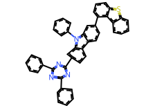 c1ccc(-c2nc(-c3ccccc3)nc(-c3ccc4c5ccc(-c6cccc7sc8ccccc8c67)cc5n(-c5ccccc5)c4c3)n2)cc1